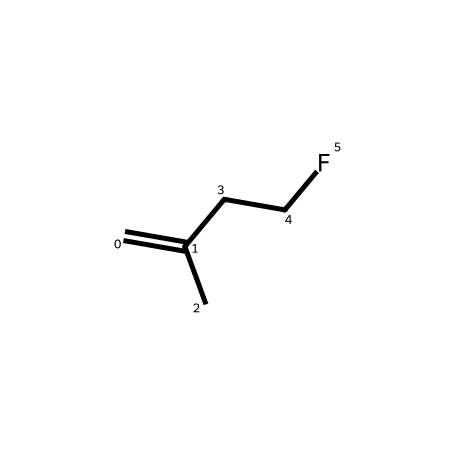 C=C(C)CCF